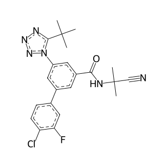 CC(C)(C#N)NC(=O)c1cc(-c2ccc(Cl)c(F)c2)cc(-n2nnnc2C(C)(C)C)c1